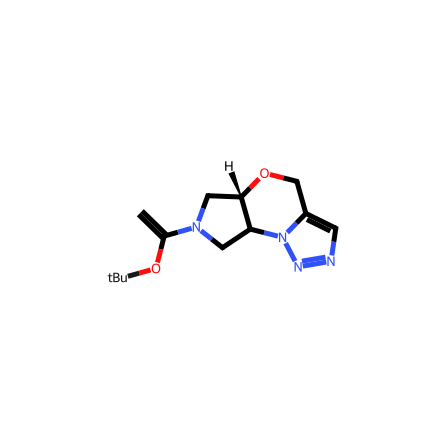 C=C(OC(C)(C)C)N1CC2[C@H](C1)OCc1cnnn12